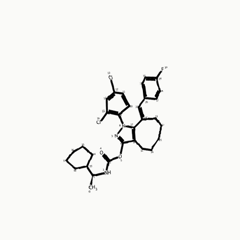 C[C@H](NC(=O)Oc1nn(-c2ccc(Cl)cc2Cl)c2c1CCCCC/C2=C\c1ccc(F)cc1)C1CCCCC1